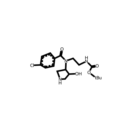 CC(C)(C)OC(=O)NCCN(C(=O)c1ccc(Cl)cc1)C1CNCC1O